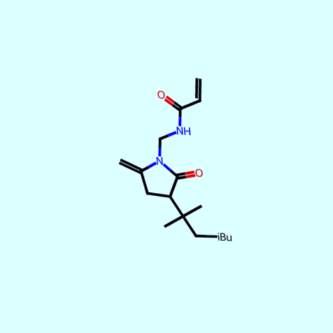 C=CC(=O)NCN1C(=C)CC(C(C)(C)CC(C)CC)C1=O